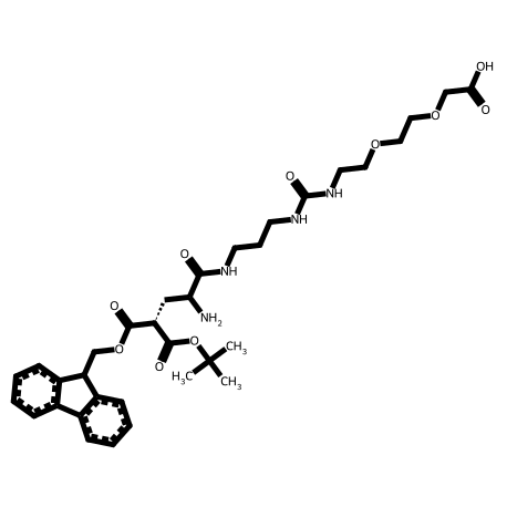 CC(C)(C)OC(=O)[C@@H](CC(N)C(=O)NCCCNC(=O)NCCOCCOCC(=O)O)C(=O)OCC1c2ccccc2-c2ccccc21